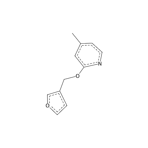 Cc1ccnc(OCc2ccoc2)c1